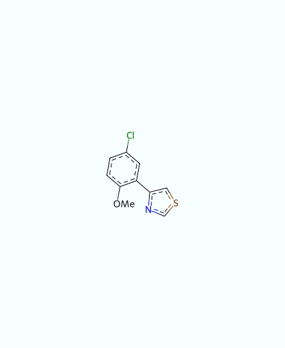 COc1ccc(Cl)cc1-c1cscn1